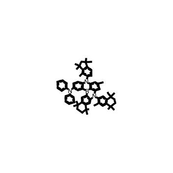 Cc1cc2c3c(c1)N(c1ccc4c(c1C)C(C)(C)CC4(C)C)c1ccc(N(c4ccccc4)c4ccccc4)cc1B3c1cc3c(cc1N2c1cc2c(cc1C)C(C)(C)CCC2(C)C)C(C)(C)CCC3(C)C